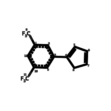 FC(F)(F)c1cc(C2=CC=CC2)cc(C(F)(F)F)c1